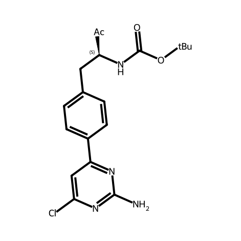 CC(=O)[C@H](Cc1ccc(-c2cc(Cl)nc(N)n2)cc1)NC(=O)OC(C)(C)C